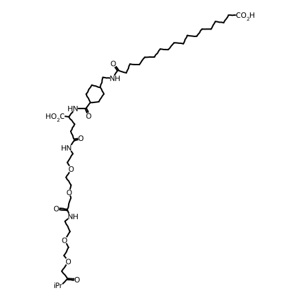 CC(C)C(=O)COCCOCCNC(=O)COCCOCCNC(=O)CCC(NC(=O)C1CCC(CNC(=O)CCCCCCCCCCCCCCCCC(=O)O)CC1)C(=O)O